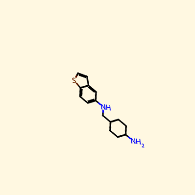 NC1CCC(CNc2ccc3sccc3c2)CC1